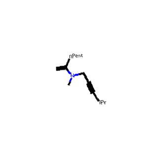 C=C(CCCCC)N(C)CC#CC(C)C